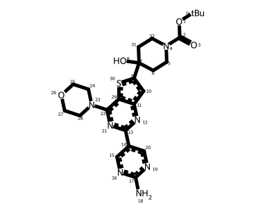 CC(C)(C)OC(=O)N1CCC(O)(c2cc3nc(-c4cnc(N)nc4)nc(N4CCOCC4)c3s2)CC1